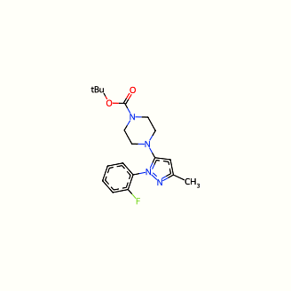 Cc1cc(N2CCN(C(=O)OC(C)(C)C)CC2)n(-c2ccccc2F)n1